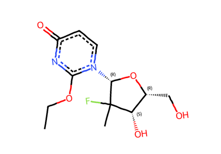 CCOc1nc(=O)ccn1[C@@H]1O[C@H](CO)[C@H](O)C1(C)F